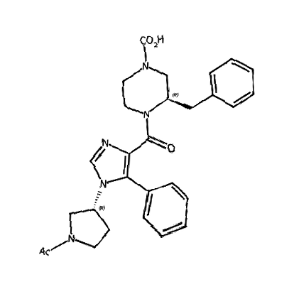 CC(=O)N1CC[C@@H](n2cnc(C(=O)N3CCN(C(=O)O)C[C@H]3Cc3ccccc3)c2-c2ccccc2)C1